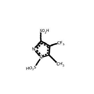 Cc1c(C(F)(F)F)c(S(=O)(=O)O)nn1S(=O)(=O)O